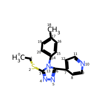 CCSc1nnc(-c2ccncc2)n1-c1ccc(C)cc1